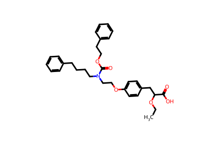 CCOC(Cc1ccc(OCCN(CCCCc2ccccc2)C(=O)OCCc2ccccc2)cc1)C(=O)O